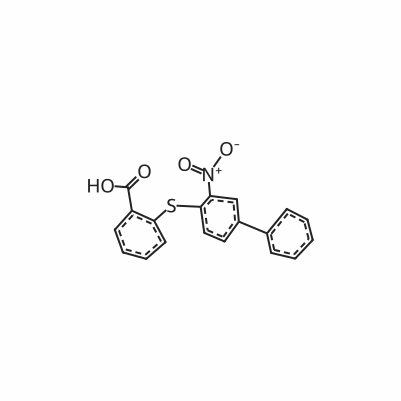 O=C(O)c1ccccc1Sc1ccc(-c2ccccc2)cc1[N+](=O)[O-]